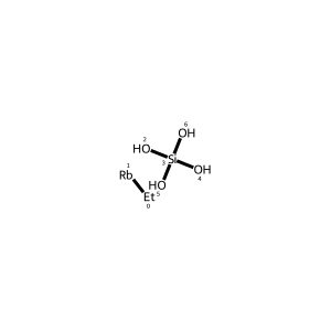 C[CH2][Rb].O[Si](O)(O)O